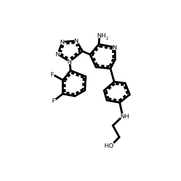 Nc1ncc(-c2ccc(NCCO)cc2)cc1-c1nnnn1-c1cccc(F)c1F